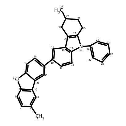 Cc1ccc2oc3ccc(-c4ccc5c(c4)c4c(n5-c5ccccc5)CCC(C)C4)cc3c2c1